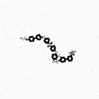 COc1ccc(-c2ccc(Oc3ccc(S(=O)(=O)c4ccc(Oc5ccc(C)c(Oc6ccc(-c7cccc(S(=O)(=O)O)c7)cc6C)c5)cc4)cc3)cc2)cc1